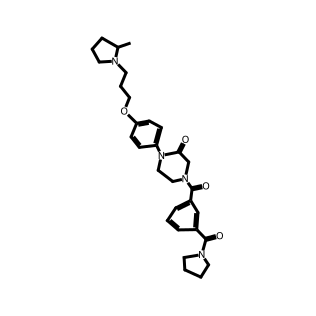 CC1CCCN1CCCOc1ccc(N2CCN(C(=O)c3cccc(C(=O)N4CCCC4)c3)CC2=O)cc1